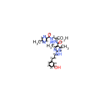 Cc1cnc(C(=O)NCC(NC(=O)c2c(C)nc(NCCCc3cccc(O)c3)nc2C)C(=O)O)cn1